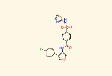 O=C(Nc1cocc1C1C=C[C@H](F)CC1)c1ccc(S(=O)(=O)Nc2nccs2)cc1